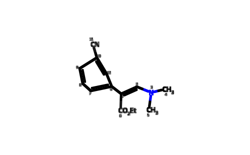 CCOC(=O)C(=CN(C)C)c1cccc(C#N)c1